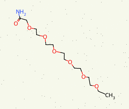 CCOCCOCCOCCOCCOCCOCC(N)=O